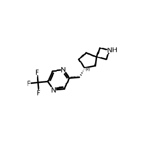 FC(F)(F)c1cnc(C[C@@H]2CCC3(CNC3)C2)cn1